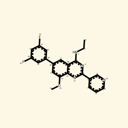 CCNc1nc(-c2cccnc2)nc2c(OC)cc(-c3cc(F)cc(F)c3)cc12